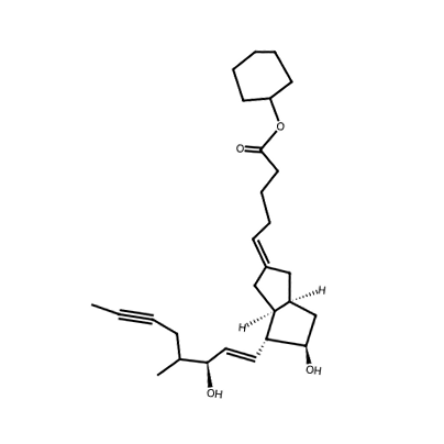 CC#CCC(C)[C@H](O)C=C[C@@H]1[C@H]2CC(=CCCCC(=O)OC3CCCCC3)C[C@H]2C[C@H]1O